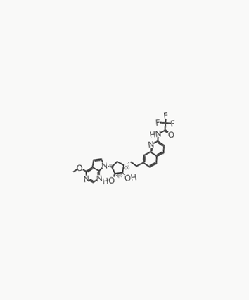 COc1ncnc2c1ccn2[C@@H]1C[C@H](CCc2ccc3ccc(NC(=O)C(F)(F)F)nc3c2)[C@@H](O)[C@H]1O